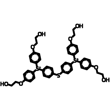 OCCOc1ccc([S+](c2ccc(OCCO)cc2)c2ccc(Sc3ccc([S+](c4ccc(OCCO)cc4)c4ccc(OCCO)cc4)cc3)cc2)cc1